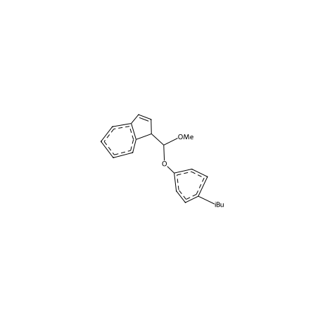 CCC(C)c1ccc(OC(OC)C2C=Cc3ccccc32)cc1